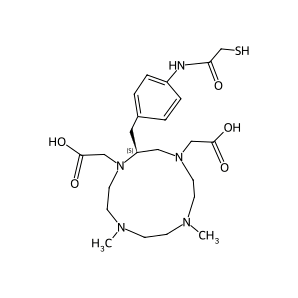 CN1CCN(C)CCN(CC(=O)O)[C@@H](Cc2ccc(NC(=O)CS)cc2)CN(CC(=O)O)CC1